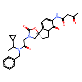 CC(=O)CC(=O)NC1=CC=C2C(CC[C@@]23CN(CC(=O)N(Cc2ccccc2)C(C)C2CC2)C(=O)O3)C1=O